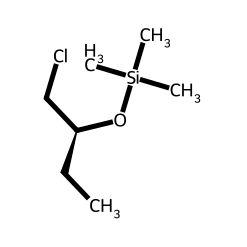 CC[C@@H](CCl)O[Si](C)(C)C